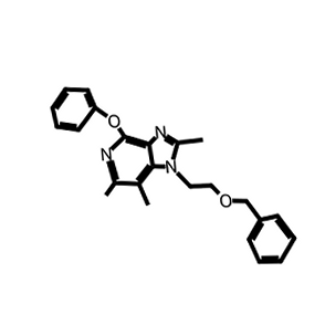 Cc1nc(Oc2ccccc2)c2nc(C)n(CCOCc3ccccc3)c2c1C